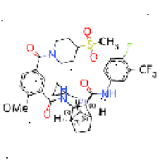 COc1ccc(C(=O)N2CCC(S(C)(=O)=O)CC2)cc1C(=O)N[C@H]1[C@@H](C(=O)Nc2ccc(F)c(C(F)(F)F)c2)[C@H]2CC[C@@H]1/C2=C\C1CC1